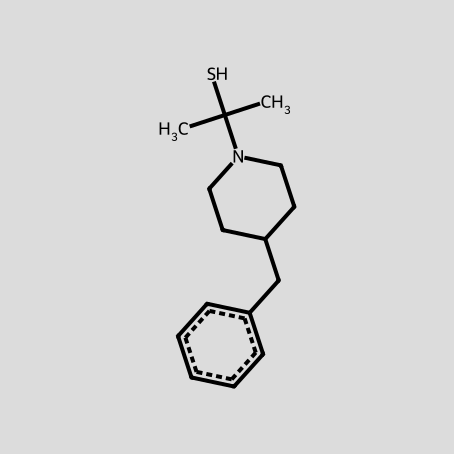 CC(C)(S)N1CCC(Cc2ccccc2)CC1